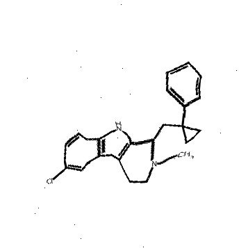 CN1CCc2c([nH]c3ccc(Cl)cc23)C1CC1(c2ccccc2)CC1